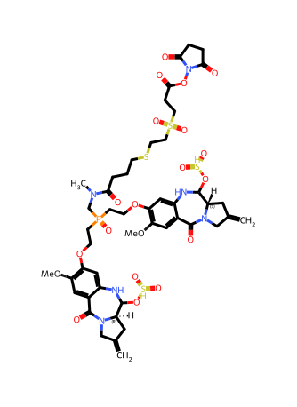 C=C1C[C@@H]2C(O[SH](=O)=O)Nc3cc(OCCP(=O)(CCOc4cc5c(cc4OC)C(=O)N4CC(=C)C[C@H]4C(O[SH](=O)=O)N5)CN(C)C(=O)CCCSCCS(=O)(=O)CCC(=O)ON4C(=O)CCC4=O)c(OC)cc3C(=O)N2C1